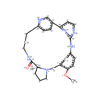 COc1ccc2cc1CN1CCC[C@H]1C(=O)NCCCc1ccc(cn1)-c1ccnc(n1)N2